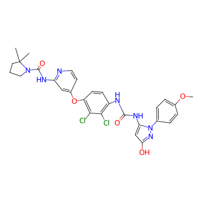 COc1ccc(-n2nc(O)cc2NC(=O)Nc2ccc(Oc3ccnc(NC(=O)N4CCCC4(C)C)c3)c(Cl)c2Cl)cc1